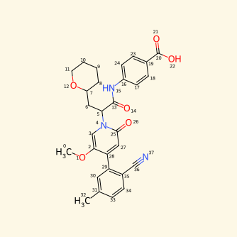 COc1cn(C(CC2CCCCO2)C(=O)Nc2ccc(C(=O)O)cc2)c(=O)cc1-c1cc(C)ccc1C#N